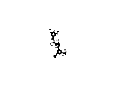 Cc1c(F)cc([C@@H](C)NC(=O)c2ccc(-c3cc(C4CC4)cc(C(F)(F)F)c3)o2)cc1F